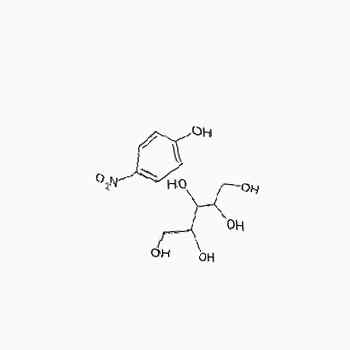 O=[N+]([O-])c1ccc(O)cc1.OCC(O)C(O)C(O)CO